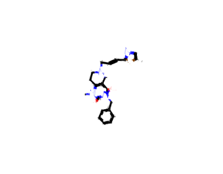 Cn1c2c(c(=O)n(Cc3ccccc3)c1=O)CN(CC#Cc1nccs1)CC2